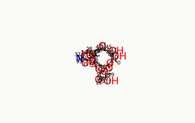 CC[C@H]1OC(=O)[C@H](C)[C@@H](OC2C[C@@](C)(OC)[C@@H](O)[C@H](C)O2)[C@H](C)[C@@H](OC2O[C@H](C)C[C@H](N(C)C)[C@H]2O)C(C)(O)C[C@@H](C)C(=O)[C@H](C)[C@@H](O)[C@]1(C)O